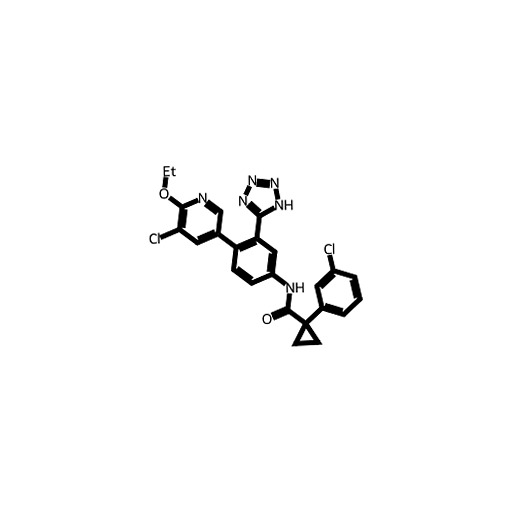 CCOc1ncc(-c2ccc(NC(=O)C3(c4cccc(Cl)c4)CC3)cc2-c2nnn[nH]2)cc1Cl